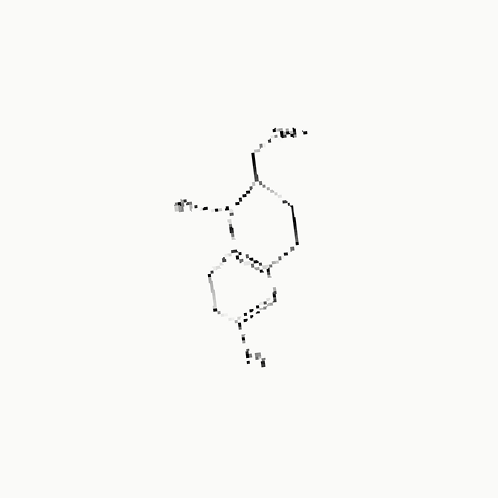 [CH2]CCN1c2ccc(C(F)(F)F)cc2CCC1COC